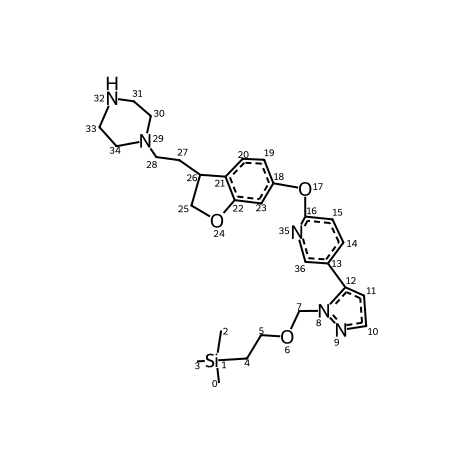 C[Si](C)(C)CCOCn1nccc1-c1ccc(Oc2ccc3c(c2)OCC3CCN2CCNCC2)nc1